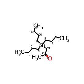 CCC[CH2][Sn]([CH2]CCC)([CH2]CCC)[CH2]C(C)=O